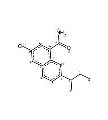 CCC(C)c1ccc2cc(Cl)cc(C(N)=O)c2c1